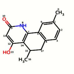 Cc1ccc2c(c1)-c1[nH]c(=O)cc(O)c1C(C)C2